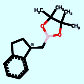 CC1(C)OB(C[C@@H]2CCc3ccccc32)OC1(C)C